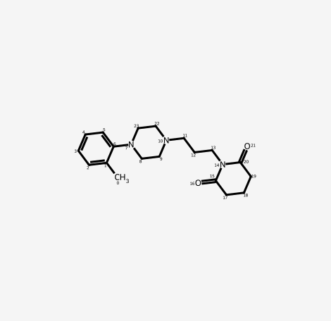 Cc1ccccc1N1CCN(CCCN2C(=O)CCCC2=O)CC1